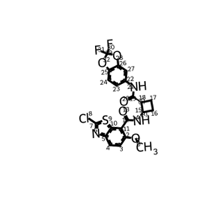 COc1ccc2nc(Cl)sc2c1C(=O)N[C@@H]1CC[C@@H]1C(=O)Nc1ccc2c(c1)OC(F)(F)O2